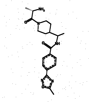 Cc1nc(-c2ccc(C(=O)NC(C)C3CCN(C(=O)[C@H](C)N)CC3)cc2)no1